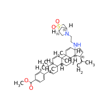 C=C(C)[C@@H]1C=CC2(NCCN3C[C@@H]4C[C@H]3CS4(=O)=O)C=CC3(C)[C@H](CC[C@@H]4C5(C)CC=C(c6ccc(C(=O)OC)cc6)C(C)(C)[C@H]5C=CC43C)[C@H]12